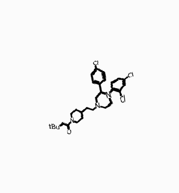 CC(C)(C)CC(=O)N1CCC(CCN2CCN(c3ccc(Cl)cc3Cl)C(c3ccc(Cl)cc3)C2)CC1